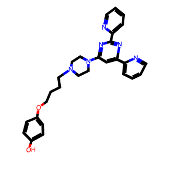 Oc1ccc(OCCCCN2CCN(c3cc(-c4ccccn4)nc(-c4ccccn4)n3)CC2)cc1